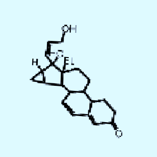 CCC12CCC3C4CCC(=O)C=C4C=CC3C1C1C[C@@H]1C2(O)/C=C\CO